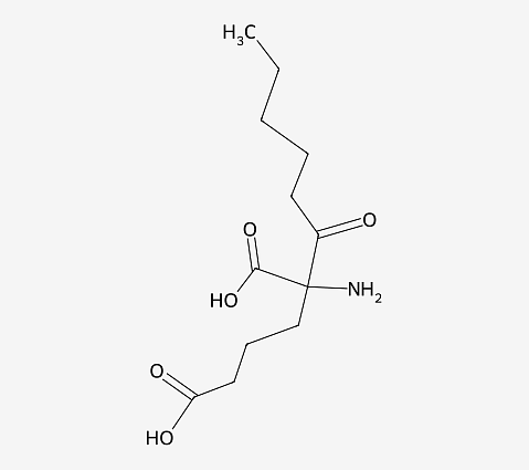 CCCCCC(=O)C(N)(CCCC(=O)O)C(=O)O